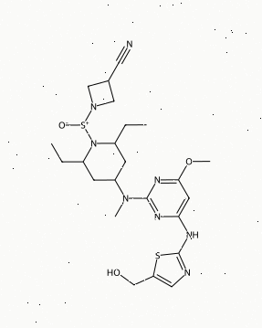 CCC1CC(N(C)c2nc(Nc3ncc(CO)s3)cc(OC)n2)CC(CC)N1[S+]([O-])N1CC(C#N)C1